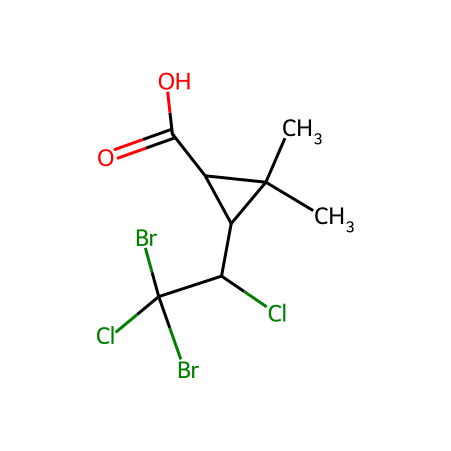 CC1(C)C(C(=O)O)C1C(Cl)C(Cl)(Br)Br